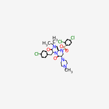 CC(C)N1C=C2N(C(=O)C(N3CCN(C)CC3)CN2S(=O)(=O)c2ccc(Cl)cc2Cl)C(Cc2ccc(Cl)cc2)C1=O